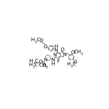 COCCOc1ccc(Nc2nc(NC3CCCN(C(=O)OC(C)(C)C)C3)c(F)c3c2C(=O)N(Cc2ccc(OC)cc2OC)C3)cc1